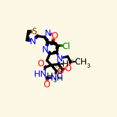 C[C@@H]1CN2c3c(nc4c(-c5nccs5)noc4c3Cl)CC3(C(=O)NC(=O)NC3=O)[C@H]2[C@H](C)O1